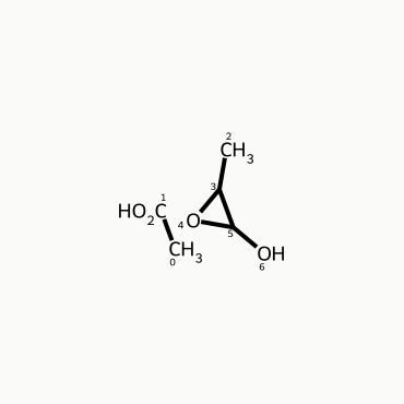 CC(=O)O.CC1OC1O